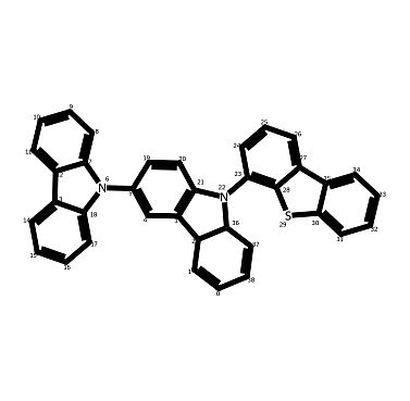 C1=CC2c3cc(-n4c5ccccc5c5ccccc54)ccc3N(c3cccc4c3sc3ccccc34)C2C=C1